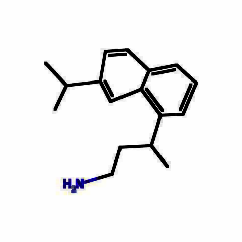 CC(C)c1ccc2cccc(C(C)CCN)c2c1